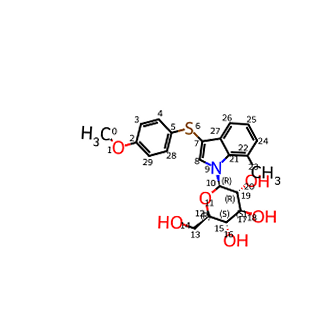 COc1ccc(Sc2cn([C@@H]3O[C@H](CO)[C@@H](O)[C@H](O)[C@H]3O)c3c(C)cccc23)cc1